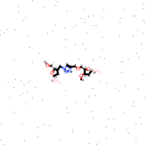 B[C@H]1CC(Cn2cc(COC[C@H]3O[C@@H](B)CC3OC)nn2)[C@@H](COC)O1